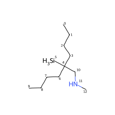 CCCCC([SiH3])(CCCC)CNC